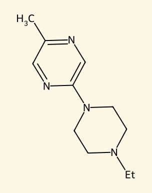 CCN1CCN(c2cnc(C)cn2)CC1